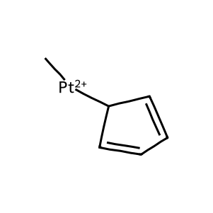 [CH3][Pt+2][CH]1C=CC=C1